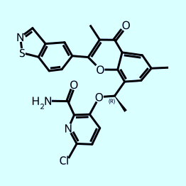 Cc1cc([C@@H](C)Oc2ccc(Cl)nc2C(N)=O)c2oc(-c3ccc4sncc4c3)c(C)c(=O)c2c1